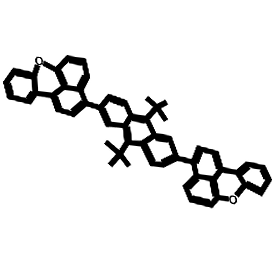 CC(C)(C)c1c2ccc(-c3ccc4c5c(cccc35)Oc3ccccc3-4)cc2c(C(C)(C)C)c2ccc(-c3ccc4c5c(cccc35)Oc3ccccc3-4)cc12